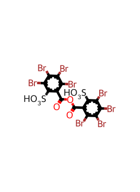 O=C(OC(=O)c1c(Br)c(Br)c(Br)c(Br)c1S(=O)(=O)O)c1c(Br)c(Br)c(Br)c(Br)c1S(=O)(=O)O